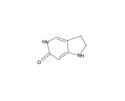 O=c1cc2c(c[nH]1)CCN2